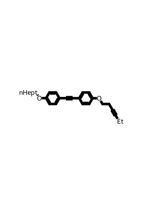 CCC#CCCOc1ccc(C#Cc2ccc(OCCCCCCC)cc2)cc1